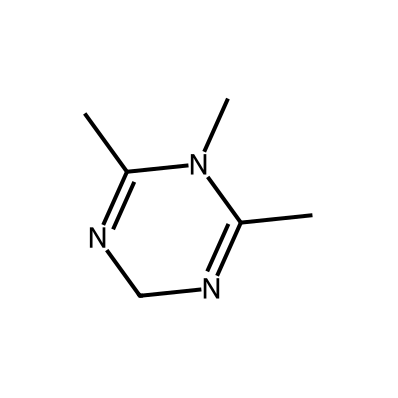 CC1=NCN=C(C)N1C